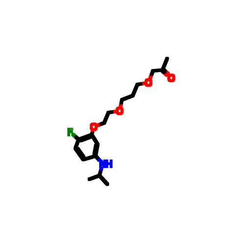 CC(=O)COCCCOCCOc1cc(NC(C)C)ccc1F